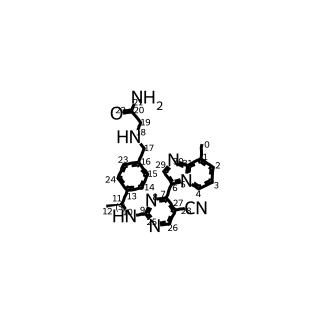 Cc1cccn2c(-c3nc(N[C@@H](C)c4ccc(CNCC(N)=O)cc4)ncc3C#N)cnc12